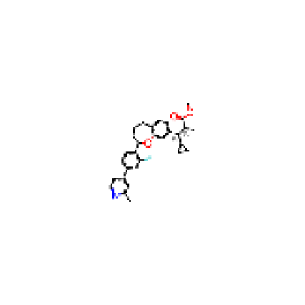 COC(=O)[C@@H](C)[C@H](c1ccc2c(c1)OC(c1ccc(-c3ccnc(C)c3)cc1F)CCC2)C1CC1